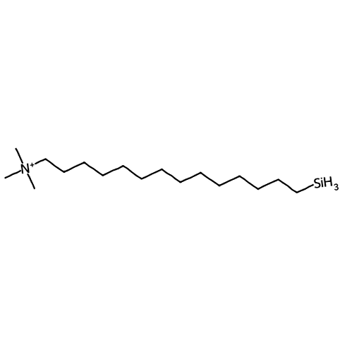 C[N+](C)(C)CCCCCCCCCCCCCC[SiH3]